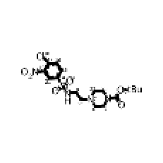 CC(C)(C)OC(=O)N1CCN(CCNS(=O)(=O)c2ccc(Cl)c([N+](=O)[O-])c2)CC1